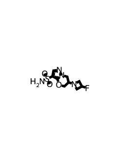 NS(=O)(=O)c1cnn2c1OCC(N1CC(F)C1)C2